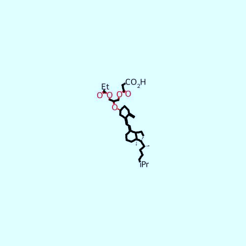 C=C1CC[C@H](OC(COC(=O)CC)COC(=O)CC(=O)O)C/C1=C/C=C1CCC[C@@]2(C)C1CC[C@@H]2[C@H](C)CCCC(C)C